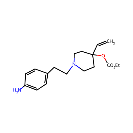 C=CC1(OC(=O)OCC)CCN(CCc2ccc(N)cc2)CC1